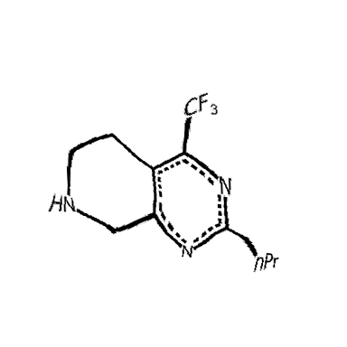 CCCc1nc2c(c(C(F)(F)F)n1)CCNC2